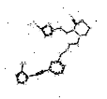 N#Cc1ccsc1C#Cc1cccc(CSCCN2CCSC(=O)N2CCc2ccc(C(=O)O)s2)c1